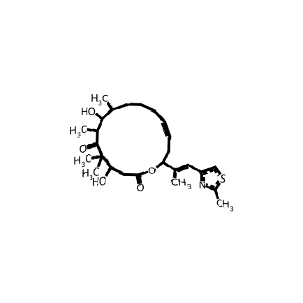 CC(=Cc1csc(C)n1)C1CC=CCCCC(C)C(O)C(C)C(=O)C(C)(C)C(O)CC(=O)O1